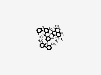 Cc1cccc2c3cccc(C)c3n(-c3cc4c5c(c3)C(C)(C)c3c6c(cc7oc8ccccc8c37)Oc3c(c(c7c8c3C(C)(C)CCC8(C)CCC7(C)C)O4)B56)c12